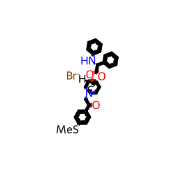 CSc1ccc(C(=O)C[N+]23CCC(CC2)[C@@H](OC(=O)[C@H](Nc2ccccc2)c2ccccc2)C3)cc1.[Br-]